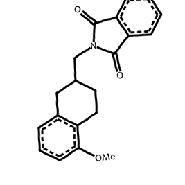 COc1cccc2c1CCC(CN1C(=O)c3ccccc3C1=O)C2